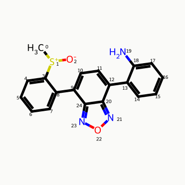 C[S+]([O-])c1ccccc1-c1ccc(-c2ccccc2N)c2nonc12